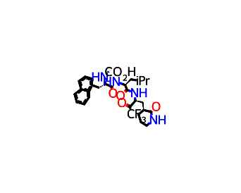 CC(C)C[C@H](NC(=O)[C@H](Cc1cccc2ccccc12)NC(=O)O)C(=O)N[C@@H](C[C@@H]1CCCNC1=O)C(=O)C(F)(F)F